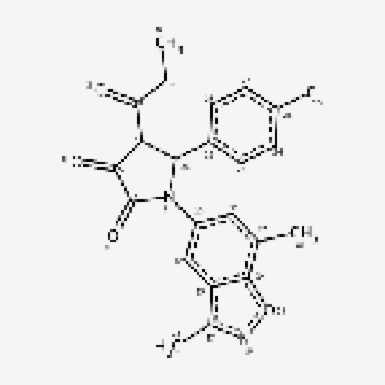 CCC(=O)C1C(=O)C(=O)N(c2cc(C)c3onc(C)c3c2)C1c1ccc(Cl)cc1